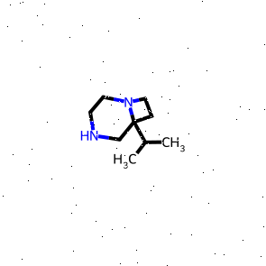 CC(C)C12CCN1CCNC2